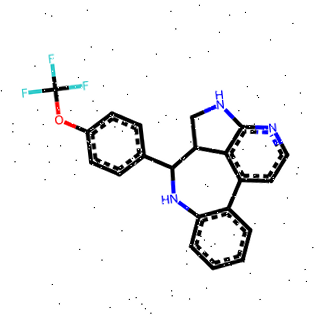 FC(F)(F)Oc1ccc(C2Nc3ccccc3-c3ccnc4c3C2CN4)cc1